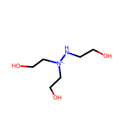 OCCN[N+](CCO)CCO